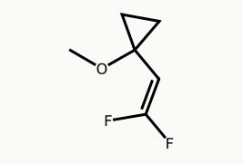 COC1(C=C(F)F)CC1